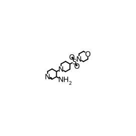 NC1C=NCCC1N1CCC(S(=O)(=O)N2CCOCC2)CC1